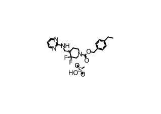 CCc1ccc(COC(=O)N2CC[C@H](CNc3ncccn3)C(F)(F)C2)cc1.CS(=O)(=O)O